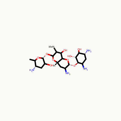 CNC1C(O[C@H]2OC(C)[C@@H](N)CC2O)O[C@H]2CC(N)[C@@H](O[C@@H]3C(N)C[C@@H](N)C(O)[C@H]3O)OC2C1O